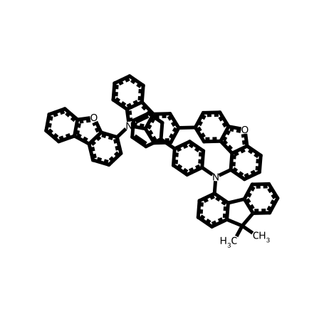 CC1(C)c2ccccc2-c2c(N(c3ccc(C4C=CC=CC4)cc3)c3cccc4oc5ccc(-c6ccc7c(c6)c6ccccc6n7-c6cccc7c6oc6ccccc67)cc5c34)cccc21